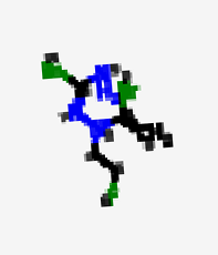 C=C(Br)N(CCF)/N=C(\N)Br